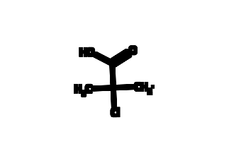 [CH2]C(C)(Cl)C(=O)O